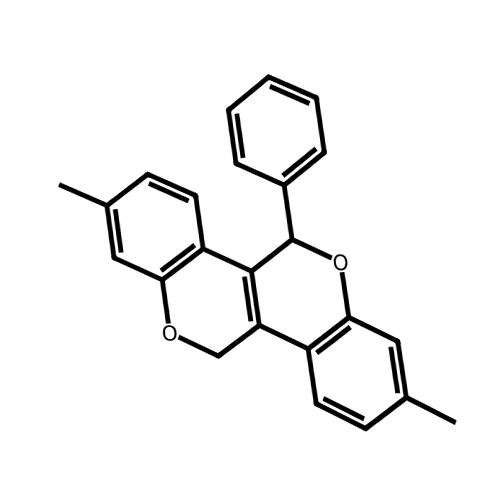 Cc1ccc2c(c1)OC(c1ccccc1)C1=C2COc2cc(C)ccc21